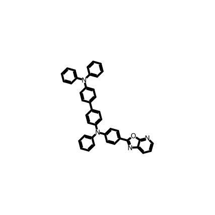 c1ccc(N(c2ccccc2)c2ccc(-c3ccc(N(c4ccccc4)c4ccc(-c5nc6cccnc6o5)cc4)cc3)cc2)cc1